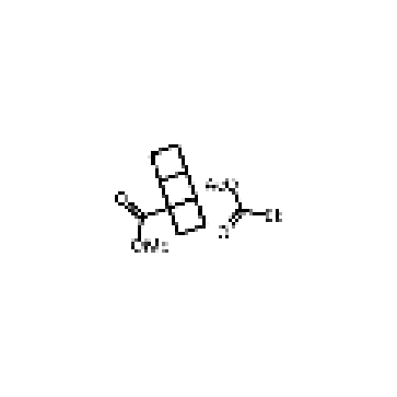 CCC(=O)OC(C)=O.COC(=O)C12C3C4C5C3C1C5C42